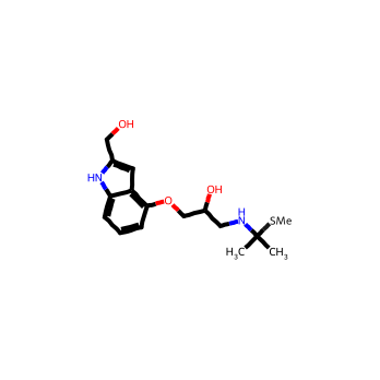 CSC(C)(C)NCC(O)COc1cccc2[nH]c(CO)cc12